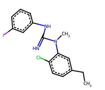 CCc1ccc(Cl)c(N(C)C(=N)Nc2cccc(I)c2)c1